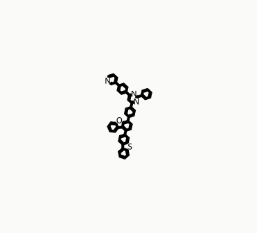 c1ccc(-c2nc(-c3ccc(-c4cccnc4)cc3)cc(-c3ccc(-c4ccc(-c5ccc6c(c5)sc5ccccc56)c5c4oc4ccccc45)cc3)n2)cc1